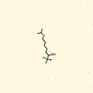 CC(C)OCCCCCC(O)C(F)(F)F